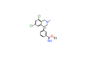 CCOC(=N)c1cccc([C@@H]2CN(C)Cc3c(Cl)cc(Cl)cc32)c1